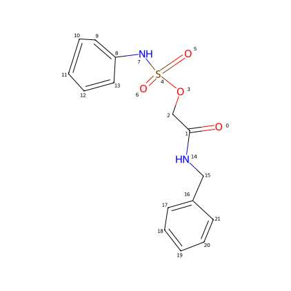 O=C(COS(=O)(=O)Nc1ccccc1)NCc1ccccc1